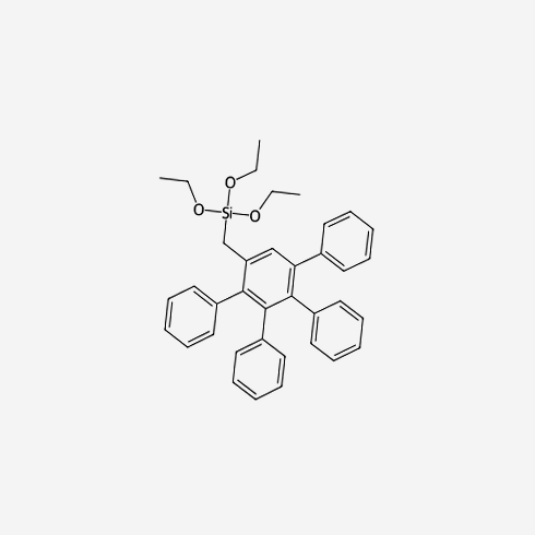 CCO[Si](Cc1cc(-c2ccccc2)c(-c2ccccc2)c(-c2ccccc2)c1-c1ccccc1)(OCC)OCC